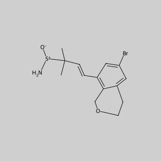 CC(C)(C=Cc1cc(Br)cc2c1COCC2)[S+](N)[O-]